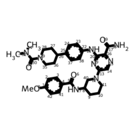 COc1ccc(C(=O)NC2CCCN(c3cnc(C(N)=O)c(Nc4ccc(C5CCN(C(=O)N(C)C)CC5)cc4)n3)C2)cc1